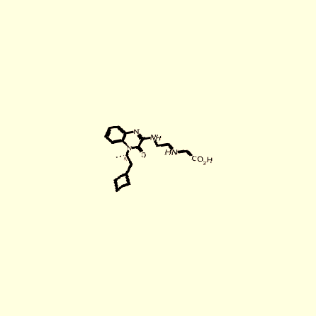 C[C@@H](CC1CCC1)n1c(=O)c(NCCNCC(=O)O)nc2ccccc21